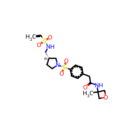 C=CS(=O)(=O)NC[C@H]1CCN(S(=O)(=O)c2ccc(CC(=O)NC3(C)COC3)cc2)C1